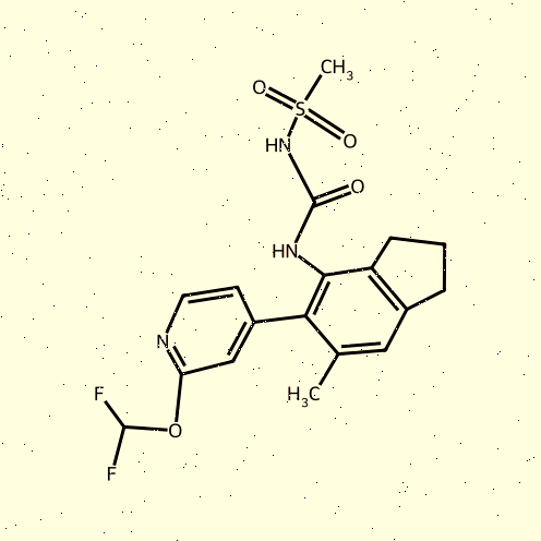 Cc1cc2c(c(NC(=O)NS(C)(=O)=O)c1-c1ccnc(OC(F)F)c1)CCC2